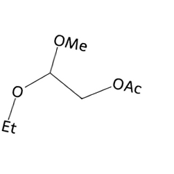 CCOC(COC(C)=O)OC